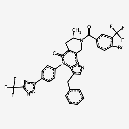 C[C@H]1Cc2c(n3ncc(Cc4ccccc4)c3n(-c3ccc(-c4nnc(C(F)(F)F)[nH]4)cc3)c2=O)CN1C(=O)c1ccc(Br)c(C(F)(F)F)c1